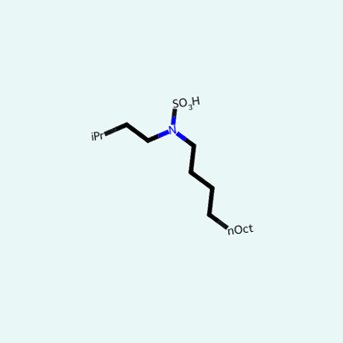 CCCCCCCCCCCCN(CCC(C)C)S(=O)(=O)O